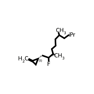 C=C1C[C@H]1CC(F)[C@H](C)CCCC(C)CC(C)C